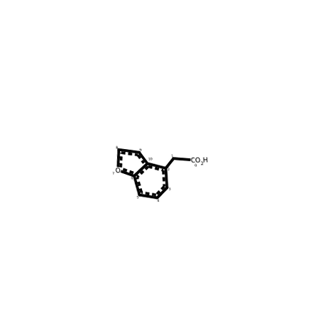 O=C(O)Cc1cccc2occc12